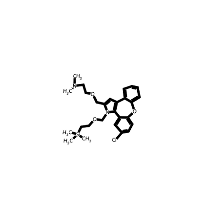 CN(C)CCOCc1cc2c(n1COCC[Si](C)(C)C)-c1cc(Cl)ccc1Oc1ccccc1-2